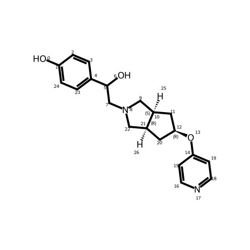 Oc1ccc(C(O)CN2C[C@H]3C[C@@H](Oc4ccncc4)C[C@H]3C2)cc1